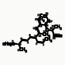 C\C=C/C(=C\C=C\[C@@H](C)CCCCCCC)C(/C)=N/C(=C/C)C(=N\CC)/OC(C)NC